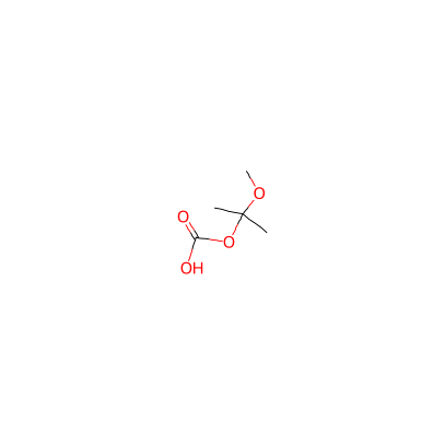 COC(C)(C)OC(=O)O